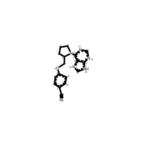 N#Cc1ccc(OCC2CCCN2c2ncnc3[nH]cnc23)cc1